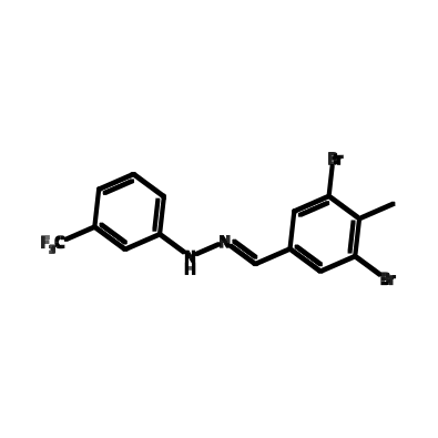 Cc1c(Br)cc(/C=N/Nc2cccc(C(F)(F)F)c2)cc1Br